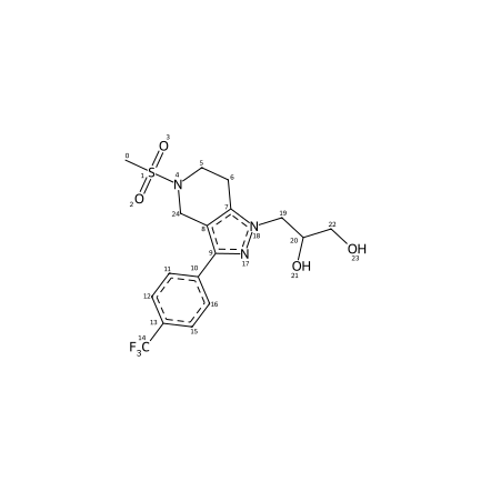 CS(=O)(=O)N1CCc2c(c(-c3ccc(C(F)(F)F)cc3)nn2CC(O)CO)C1